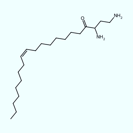 CCCCCCCC/C=C\CCCCCCCC(=O)C(N)CCN